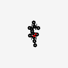 c1ccc(-c2ccc(-c3nc(-c4ccccc4)cc(-c4ccccc4-n4c5ccccc5c5cc6c(cc54)c4ccccc4n6-c4nc(-c5ccccc5)nc(-c5ccccc5)n4)n3)cc2)cc1